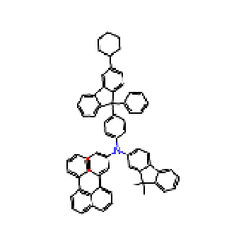 CC1(C)c2ccccc2-c2ccc(N(c3ccc(C4(c5ccccc5)c5ccccc5-c5cc(C6CCCCC6)ccc54)cc3)c3cccc(-c4cccc5cccc(-c6ccccc6)c45)c3)cc21